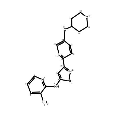 Cc1cccnc1Nc1cc(-c2ccc(OC3CCOCC3)cn2)n[nH]1